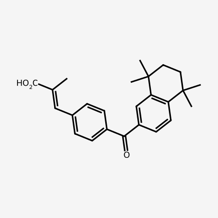 CC(=Cc1ccc(C(=O)c2ccc3c(c2)C(C)(C)CCC3(C)C)cc1)C(=O)O